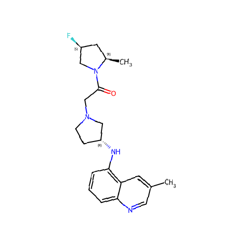 Cc1cnc2cccc(N[C@@H]3CCN(CC(=O)N4C[C@@H](F)C[C@H]4C)C3)c2c1